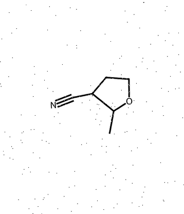 CC1OCC[C]1C#N